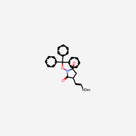 CCCCCCCCCCC=CC1CC(=O)N(OC(c2ccccc2)(c2ccccc2)c2ccccc2)C1=O